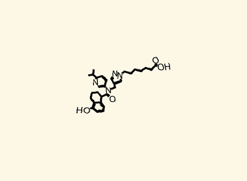 CC(C)c1ccc(N(Cc2cnn(CCCCCCC(=O)O)c2)C(=O)C2CCCc3c(O)cccc32)cn1